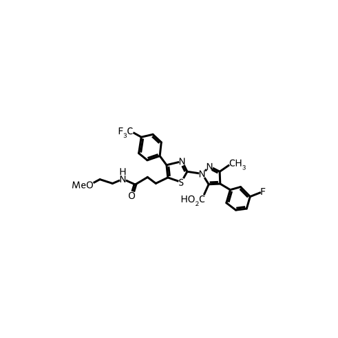 COCCNC(=O)CCc1sc(-n2nc(C)c(-c3cccc(F)c3)c2C(=O)O)nc1-c1ccc(C(F)(F)F)cc1